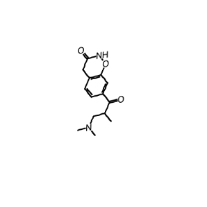 CC(CN(C)C)C(=O)c1ccc2c(c1)ONC(=O)C2